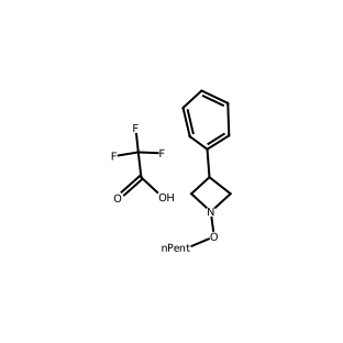 CCCCCON1CC(c2ccccc2)C1.O=C(O)C(F)(F)F